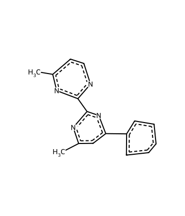 Cc1ccnc(-c2nc(C)cc(-c3ccccc3)n2)n1